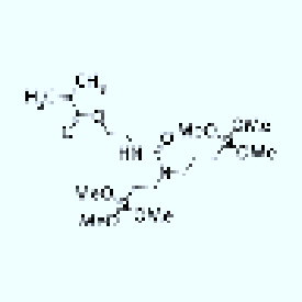 C=C(C)C(=O)OCCNC(=O)N(CCC[Si](OC)(OC)OC)CC[Si](OC)(OC)OC